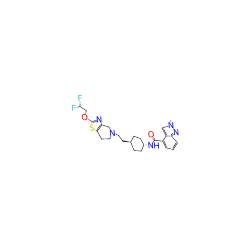 Cn1cc2c(C(=O)N[C@H]3CC[C@H](CCN4CCc5sc(OCC(F)F)nc5C4)CC3)cccc2n1